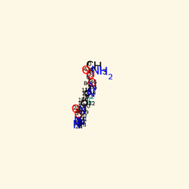 C[C@H](N)C(=O)OCC1CC(c2ccc(-c3ccc(N4C[C@H](Cn5ccnn5)OC4=O)cc3F)cn2)=NO1